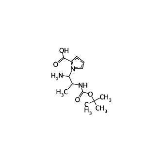 CC(NC(=O)OC(C)(C)C)C(N)n1cccc1C(=O)O